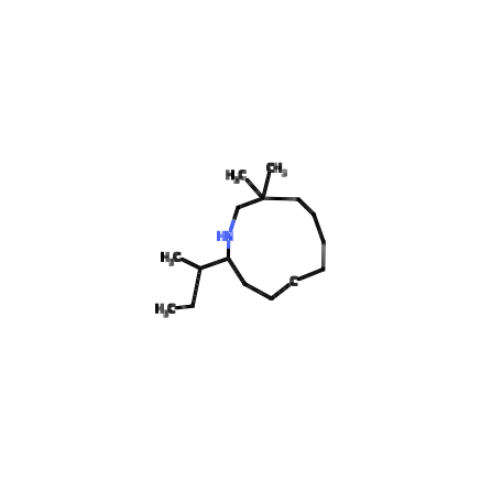 CCC(C)C1CCCCCCCC(C)(C)CN1